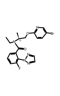 CCN(C(=O)c1cccc(F)c1-n1nccn1)[C@@H](C)COc1ccc(Br)cn1